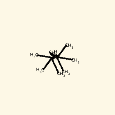 CCCCCCCCCCCCCCCCCCCc1cc(Nc2nc(Nc3cc(CCCCCCCCCCCCCCCCCCC)c(CCCCCCCCCCCCCCCCCCC)c(CCCCCCCCCCCCCCCCCCC)c3)nc(-c3ccc(CC)cc3)n2)cc(CCCCCCCCCCCCCCCCCCC)c1CCCCCCCCCCCCCCCCCCC